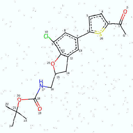 CC(=O)c1ccc(-c2cc(Cl)c3c(c2)CC(CNC(=O)OC(C)(C)C)O3)s1